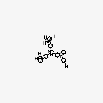 N#Cc1ccc(-n2c3ccccc3c3cc(-c4nc(-c5ccc(C67C[C@H]8C[C@@H](C6)C[C@@H](C7)C8)cc5)nc(-c5ccc(C67C[C@H]8C[C@@H](C6)C[C@@H](C7)C8)cc5)n4)ccc32)cc1